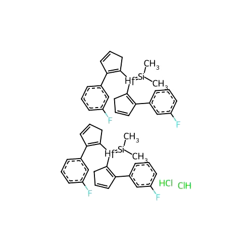 C[Si](C)=[Hf]([C]1=C(c2cccc(F)c2)C=CC1)[C]1=C(c2cccc(F)c2)C=CC1.C[Si](C)=[Hf]([C]1=C(c2cccc(F)c2)C=CC1)[C]1=C(c2cccc(F)c2)C=CC1.Cl.Cl